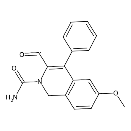 COc1ccc2c(c1)C(c1ccccc1)=C([C]=O)N(C(N)=O)C2